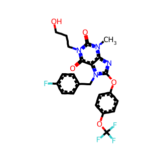 Cn1c(=O)n(CCCO)c(=O)c2c1nc(Oc1ccc(OC(F)(F)F)cc1)n2Cc1ccc(F)cc1